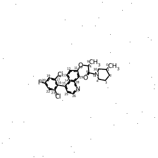 CC1CCCN(C(=O)C(C)Oc2ccc3c(-c4c(Cl)cc(F)cc4Cl)ccnc3c2)C1